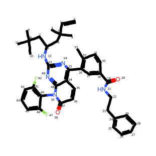 C=CC(C)(C)CC(CC(C)(C)C)Nc1nc(-c2cc(C(=O)NCCc3ccccc3)ccc2C)c2ccc(=O)n(-c3c(F)cccc3F)c2n1